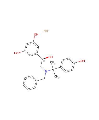 Br.CC(C)(c1ccc(O)cc1)N(Cc1ccccc1)C[C@H](O)c1cc(O)cc(O)c1